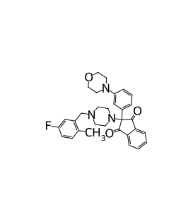 Cc1ccc(F)cc1CN1CCN(C2(c3cccc(N4CCOCC4)c3)C(=O)c3ccccc3C2=O)CC1